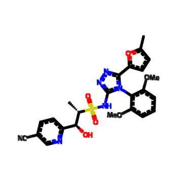 COc1cccc(OC)c1-n1c(NS(=O)(=O)[C@@H](C)[C@@H](O)c2ccc(C#N)cn2)nnc1-c1ccc(C)o1